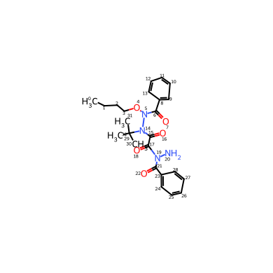 CCCCON(C(=O)c1ccccc1)N(C(=O)C(=O)N(N)C(=O)c1ccccc1)C(C)(C)C